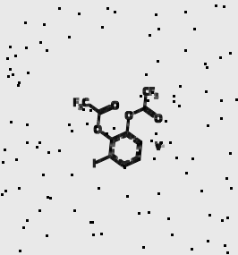 O=C(Oc1cccc(I)c1OC(=O)C(F)(F)F)C(F)(F)F.[V]